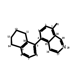 Cc1ccc(-c2cccc3c2CCCC3)c2ccncc12